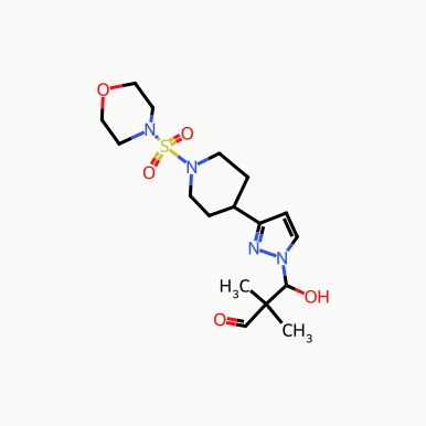 CC(C)(C=O)C(O)n1ccc(C2CCN(S(=O)(=O)N3CCOCC3)CC2)n1